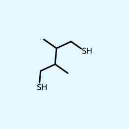 [CH2]C(CS)C(C)CS